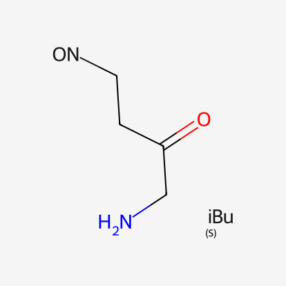 CC[C@H](C)C(N)C(=O)CCN=O